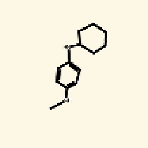 CNc1ccc(NC2CCCCC2)cc1